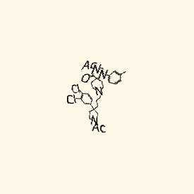 CC(=O)N1CCC(CCCN2CCC3(CC2)C(=O)N(C(C)=O)CN3c2cccc(C)c2)(c2ccc(Cl)c(Cl)c2)C1